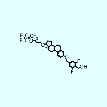 C[C@]12CCC3c4ccc(OCc5cc(F)c(CO)c(F)c5)cc4CCC3C1CC[C@@H]2OCCCOC(C(F)(F)F)(C(F)(F)F)C(F)(F)F